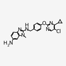 Cn1c(NCc2ccc(Oc3ncc(Cl)c(C4CC4)n3)cc2)nc2ccc(N)cc21